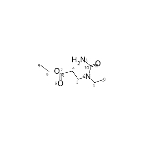 [CH2]CN(CCC(=O)OCC)C(N)=O